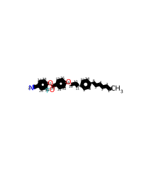 CCCCCCC[C@H]1CC[C@H](C=CCOc2ccc(C(=O)Oc3ccc(C#N)cc3F)cc2)CC1